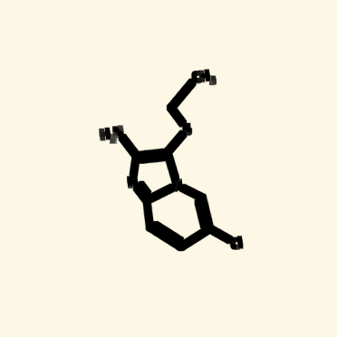 CCSc1c(N)nc2ccc(Cl)cn12